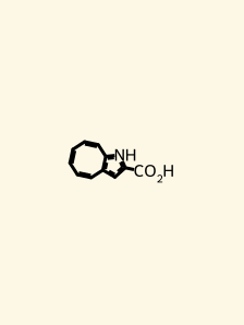 O=C(O)c1cc2c([nH]1)C=CC=CC=C2